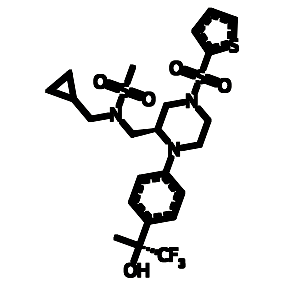 C[C@](O)(c1ccc(N2CCN(S(=O)(=O)c3cccs3)C[C@@H]2CN(CC2CC2)S(C)(=O)=O)cc1)C(F)(F)F